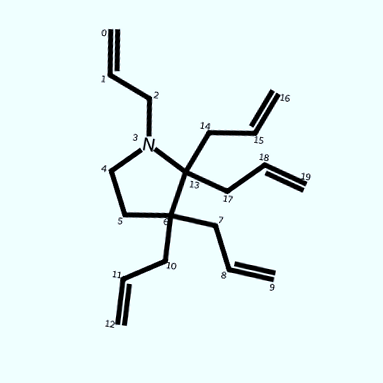 C=CCN1CCC(CC=C)(CC=C)C1(CC=C)CC=C